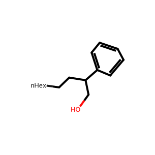 CCCCCCCCC(CO)c1ccccc1